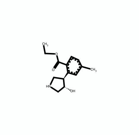 CCOC(=O)c1ccc(C)cc1[C@@H]1CNC[C@H]1O